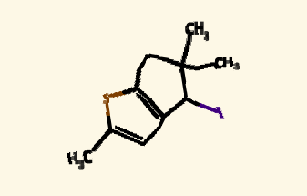 Cc1cc2c(s1)CC(C)(C)C2I